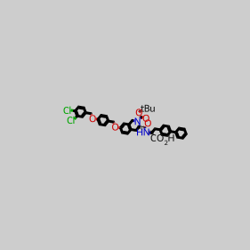 CC(C)(C)OC(=O)N1Cc2cc(OCc3ccc(OCc4ccc(Cl)c(Cl)c4)cc3)ccc2C[C@H]1C(=O)N[C@@H](Cc1ccc(-c2ccccc2)cc1)C(=O)O